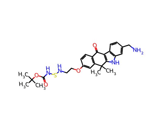 CC(C)(C)OC(=O)NSNCCOc1ccc2c(c1)C(C)(C)c1[nH]c3cc(CN)ccc3c1C2=O